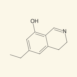 CCc1cc(O)c2c(c1)CCN=C2